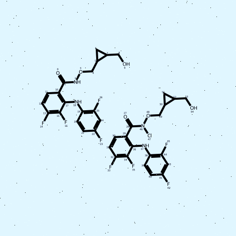 O=C(NOCC1CC1CO)c1ccc(F)c(F)c1Nc1ccc(F)cc1F.O=C(c1ccc(F)c(F)c1Nc1ccc(F)cc1F)N(Cl)OCC1CC1CO